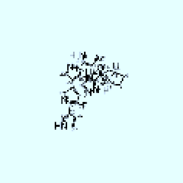 CC(=O)c1c(C2C[C@H]3CC[C@@H](C2)N3C(=O)c2nnc[nH]2)nc2c(-c3cnc(-c4cc[nH]n4)c(F)c3)cnn2c1N